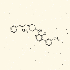 C/C(=C\c1ccccc1)CN1CCC(Nc2nccn(-c3cccc(C)c3)c2=O)CC1